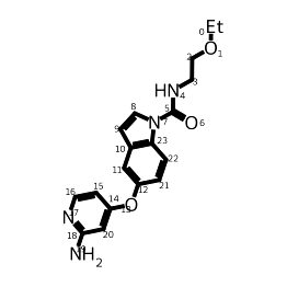 CCOCCNC(=O)n1ccc2cc(Oc3ccnc(N)c3)ccc21